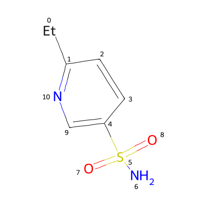 CCc1ccc(S(N)(=O)=O)cn1